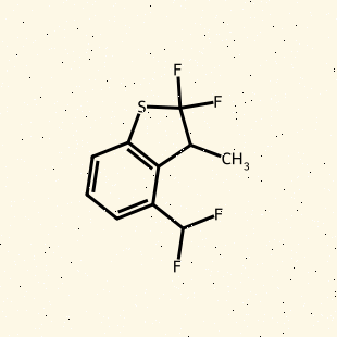 CC1c2c(cccc2C(F)F)SC1(F)F